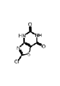 O=c1[nH]c(=O)c2sc(Cl)nc2[nH]1